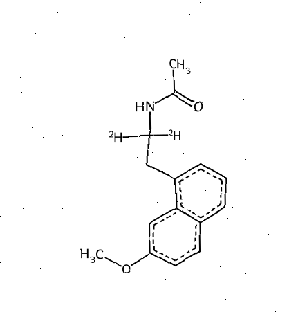 [2H]C([2H])(Cc1cccc2ccc(OC)cc12)NC(C)=O